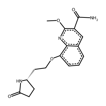 COc1nc2c(OCC[C@@H]3CCC(=O)N3)cccc2cc1C(N)=O